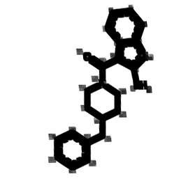 Nc1sc2ccccc2c1C(=O)N1CCC(Cc2ccccc2)CC1